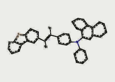 [2H]/C(=C(/[2H])c1ccc2sc3ccccc3c2c1)c1ccc(N(c2ccccc2)c2cc3ccccc3c3ccccc23)cc1